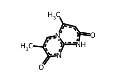 Cc1cn2c(C)cc(=O)[nH]c2nc1=O